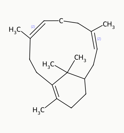 CC1=C2CC/C(C)=C\CC/C(C)=C\CC(CC1)C2(C)C